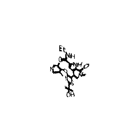 CCNC(=O)c1cc2c(-c3sc(C(C)(C)O)nc3Oc3c(C)cncc3C)cn(C)c(=O)c2[nH]1